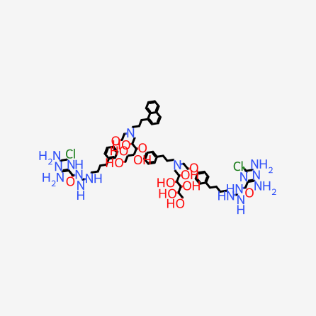 N=C(NCCCCc1ccc(OCCN(CCCc2cccc(OC(C(O)CN(CCCc3cccc4ccccc34)CCOc3ccc(CCCCNC(=N)NC(=O)c4nc(Cl)c(N)nc4N)cc3)C(O)C(O)CO)c2)CC(O)C(O)C(O)C(O)CO)cc1)NC(=O)c1nc(Cl)c(N)nc1N